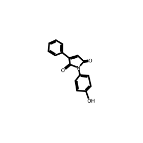 O=C1C=C(c2ccccc2)C(=O)N1c1ccc(O)cc1